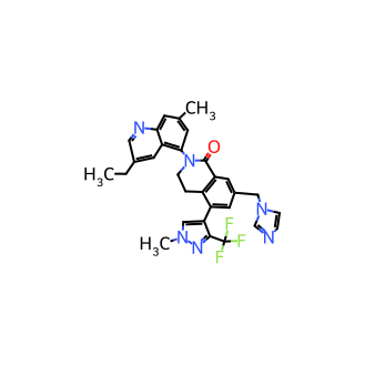 CCc1cnc2cc(C)cc(N3CCc4c(cc(Cn5ccnc5)cc4-c4cn(C)nc4C(F)(F)F)C3=O)c2c1